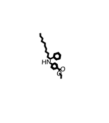 CCCCCCCCCCC(Nc1ccc(C(=O)OCC)cc1)c1ccccc1